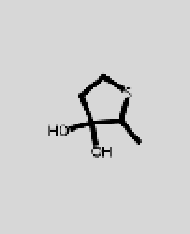 C[C]1SCCC1(O)O